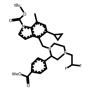 COC(=O)c1ccc(C2CN(CC(F)F)CCN2Cc2c(C3CC3)cc(C)c3c2ccn3C(=O)OC(C)(C)C)cc1